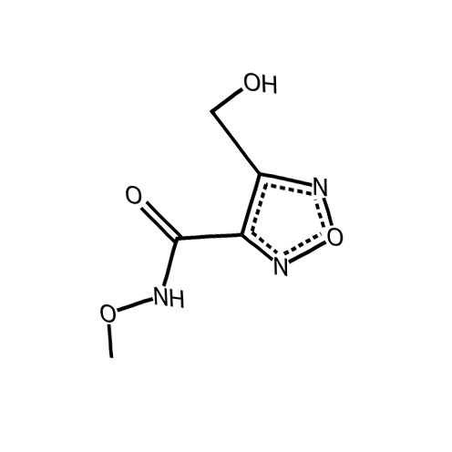 CONC(=O)c1nonc1CO